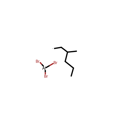 [Br][Al]([Br])[Br].[CH2]CC(C)CCC